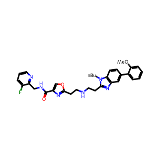 CCCCn1c(CCNCCc2nc(C(=O)NCc3ncccc3F)co2)nc2cc(-c3ccccc3OC)ccc21